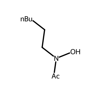 CCCCCCN(O)C(C)=O